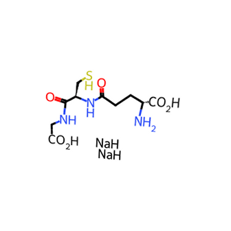 N[C@H](CCC(=O)N[C@H](CS)C(=O)NCC(=O)O)C(=O)O.[NaH].[NaH]